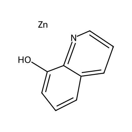 Oc1cccc2cccnc12.[Zn]